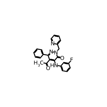 CC(=O)c1c(-c2ccccc2)nn(Cc2ccccn2)c(=O)c1Nc1cccc(F)c1